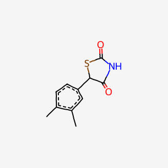 Cc1ccc(C2SC(=O)NC2=O)cc1C